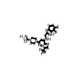 NC(=O)N1CCN(c2cc(NCc3nc4ccc(F)c(F)c4[nH]3)c3ncc(C(F)(F)F)n3n2)CC1